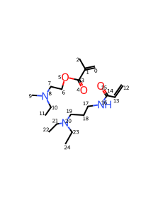 C=C(C)C(=O)OCCN(C)CC.C=CC(=O)NCCCN(CC)CC